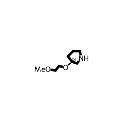 COCCO[C@H]1CCCNC1